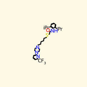 CC(C)c1cccc(C(C)C)c1NC(=O)CSCCCCCCN1CCN(c2cccc(C(F)(F)F)n2)CC1